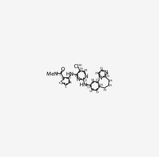 CNC(=O)c1sccc1Nc1nc(Nc2ccc3c(c2)-n2ccnc2CCC3)ncc1Cl